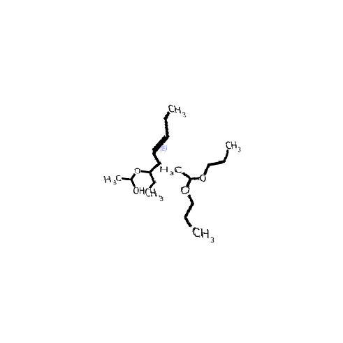 CC/C=C/CC(CC)OC(C)O.CCCOC(C)OCCC